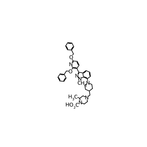 CC1CN(CC2CCN(c3cccc4c(-c5ccc(OCc6ccccc6)nc5OCc5ccccc5)nn(C)c34)CC2)CCN1C(=O)O